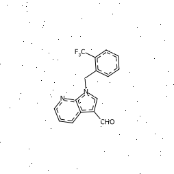 O=Cc1cn(Cc2ccccc2C(F)(F)F)c2ncccc12